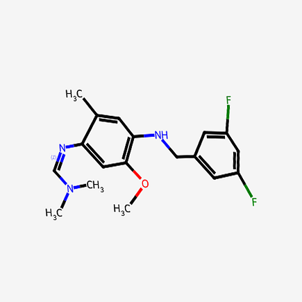 COc1cc(/N=C\N(C)C)c(C)cc1NCc1cc(F)cc(F)c1